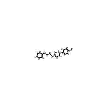 Fc1ccc(C2CCN(CCCCc3ccccc3)CC2)cc1